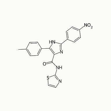 Cc1ccc(-c2[nH]c(-c3ccc([N+](=O)[O-])cc3)nc2C(=O)Nc2nccs2)cc1